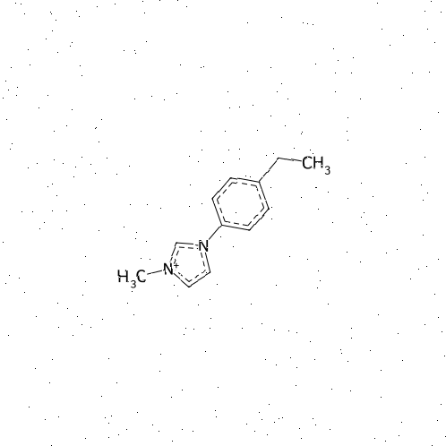 CCc1ccc(-n2cc[n+](C)c2)cc1